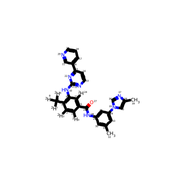 [2H]c1c([2H])c(C([2H])([2H])[2H])c(Nc2nccc(-c3cccnc3)n2)c([2H])c1C(=O)Nc1cc(C)cc(-n2cnc(C)c2)c1